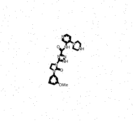 COc1cccc(N2CCN(c3nc(C(=O)Nc4cnccc4N4CCNCC4)n[nH]3)C2=O)c1